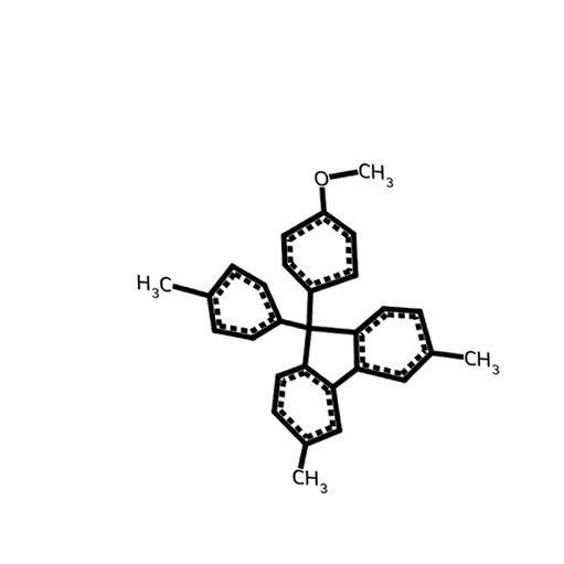 COc1ccc(C2(c3ccc(C)cc3)c3ccc(C)cc3-c3cc(C)ccc32)cc1